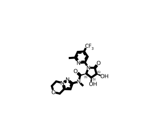 Cc1cc(C(F)(F)F)cc(N2C(=O)[C@@H](O)[C@@H](O)[C@H]2C(=O)N(C)c2cc3n(n2)CCOC3)n1